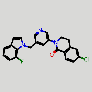 O=C1c2ccc(Cl)cc2CCN1c1cncc(Cn2ccc3cccc(F)c32)c1